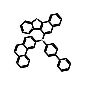 c1ccc(-c2ccc(N(c3ccc4ccc5ccccc5c4c3)c3cc4ccccc4c4sc5ccccc5c34)cc2)cc1